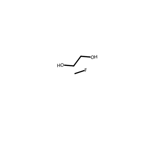 CF.OCCO